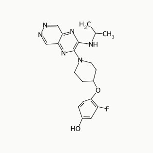 CC(C)Nc1nc2cnncc2nc1N1CCC(Oc2ccc(O)cc2F)CC1